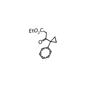 CCOC(=O)CC(=O)C1(c2ccccc2)CC1